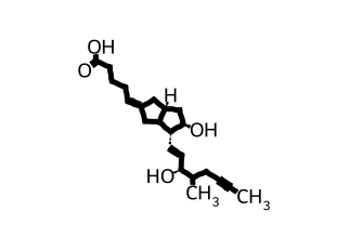 CC#CCC(C)[C@H](O)/C=C/[C@@H]1C2C/C(=C/CCCC(=O)O)C[C@H]2C[C@H]1O